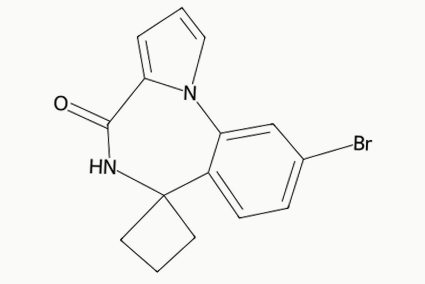 O=C1NC2(CCC2)c2ccc(Br)cc2-n2cccc21